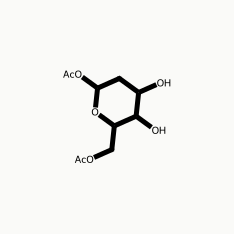 CC(=O)OCC1OC(OC(C)=O)CC(O)C1O